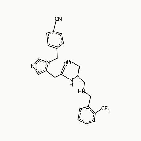 CC(C)C[C@@H](CNCc1ccccc1C(F)(F)F)NC(=O)Cc1cncn1Cc1ccc(C#N)cc1